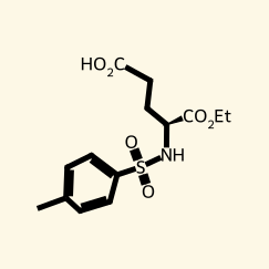 CCOC(=O)[C@H](CCC(=O)O)NS(=O)(=O)c1ccc(C)cc1